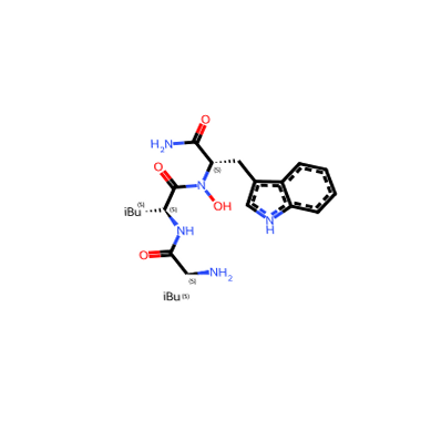 CC[C@H](C)[C@H](N)C(=O)N[C@H](C(=O)N(O)[C@@H](Cc1c[nH]c2ccccc12)C(N)=O)[C@@H](C)CC